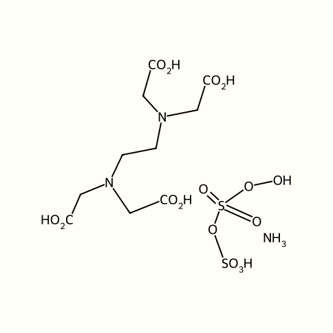 N.O=C(O)CN(CCN(CC(=O)O)CC(=O)O)CC(=O)O.O=S(=O)(O)OS(=O)(=O)OO